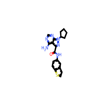 Nc1ncnc2c1c(C(=O)Nc1ccc3sccc3c1)nn2C1CCCC1